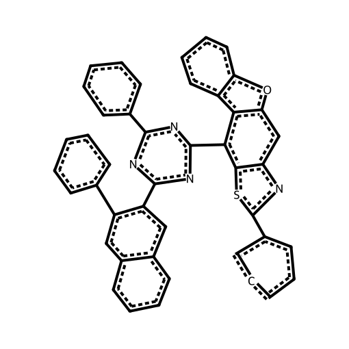 c1ccc(-c2nc(-c3cc4ccccc4cc3-c3ccccc3)nc(-c3c4sc(-c5ccccc5)nc4cc4oc5ccccc5c34)n2)cc1